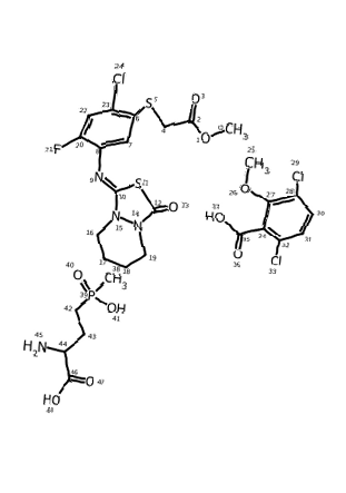 COC(=O)CSc1cc(/N=c2\sc(=O)n3n2CCCC3)c(F)cc1Cl.COc1c(Cl)ccc(Cl)c1C(=O)O.CP(=O)(O)CCC(N)C(=O)O